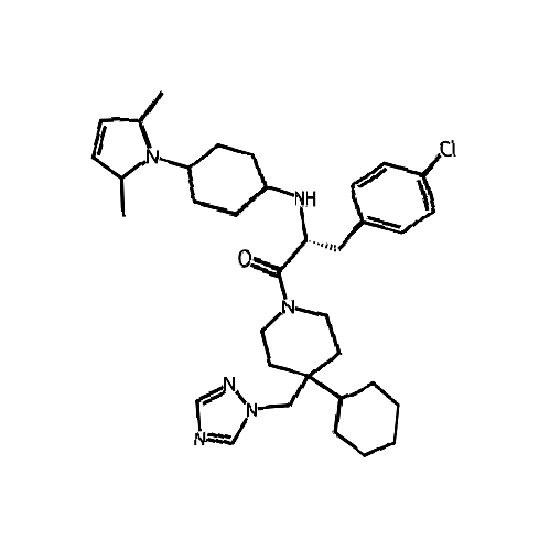 CC1C=CC(C)N1C1CCC(N[C@H](Cc2ccc(Cl)cc2)C(=O)N2CCC(Cn3cncn3)(C3CCCCC3)CC2)CC1